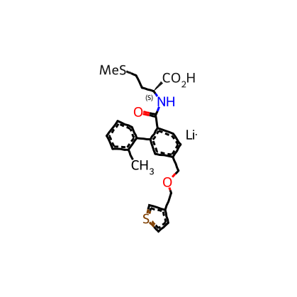 CSCC[C@H](NC(=O)c1ccc(COCc2ccsc2)cc1-c1ccccc1C)C(=O)O.[Li]